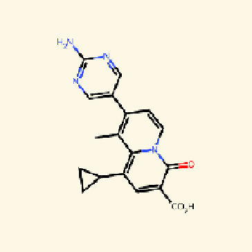 Cc1c(-c2cnc(N)nc2)ccn2c(=O)c(C(=O)O)cc(C3CC3)c12